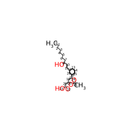 CCCCCCCCC(O)C=Cc1cccc(C(CCCC(=O)O)OC(C)=O)c1